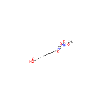 CC(=O)CC[C@@H](C=O)NC(=O)C1CCN(C(=O)CCCCCCCCCCCCCCCCCCC(=O)O)CC1